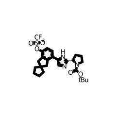 CC(C)(C)OC(=O)N1CCC[C@H]1c1ncc(-c2ccc(OS(=O)(=O)C(F)(F)F)c3c2CC2(CCCC2)C3)[nH]1